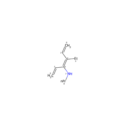 C=C/C(CC)=C(\C=C)NCCC